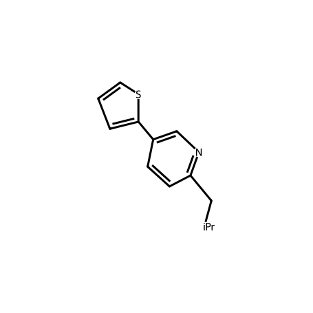 CC(C)Cc1ccc(-c2cccs2)cn1